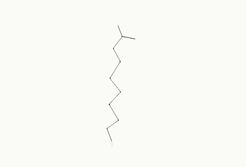 OC(F)CCCCCCCF